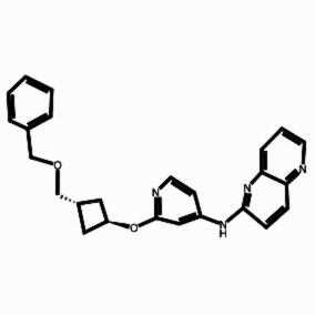 c1ccc(COC[C@H]2C[C@H](Oc3cc(Nc4ccc5ncccc5n4)ccn3)C2)cc1